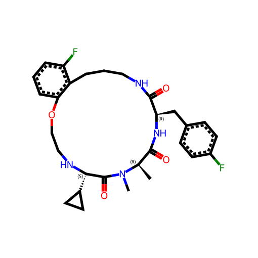 C[C@@H]1C(=O)N[C@H](Cc2ccc(F)cc2)C(=O)NCCCc2c(F)cccc2OCCN[C@@H](C2CC2)C(=O)N1C